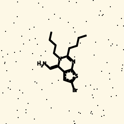 CCCCC1=Nc2sc(Br)cc2C(=CN)N1CCCC